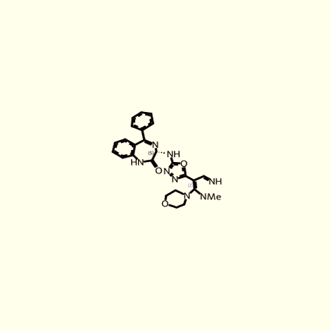 CN/C(=C(\C=N)c1nnc(N[C@H]2N=C(c3ccccc3)c3ccccc3NC2=O)o1)N1CCOCC1